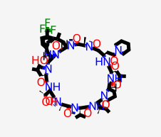 CC[C@H](C)[C@@H]1NC(=O)[C@H](C(C)C)N(C)C(=O)[C@H](C)N(C)C(=O)[C@H]([C@@H](C)O)NC(=O)[C@H](CC(C)C)N(C)C(O)[C@@H]2Cc3ccc(C(F)(F)F)c(c3)C(C)C[C@@H](C(=O)N2)N(C)C(=O)[C@@H](C)N(C)C(=O)C[C@@H](CC(=O)N2CCCCC2)NC(=O)[C@H](CC(C)C)NC(=O)[C@@H]2CCCN2C1=O